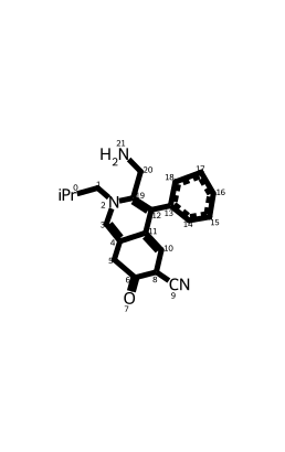 CC(C)CN1C=C2CC(=O)C(C#N)C=C2C(c2ccccc2)=C1CN